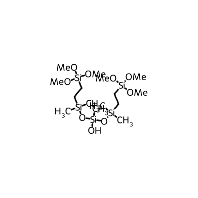 CO[Si](CC[Si](C)(C)O[Si](C)(O)O[Si](C)(C)CC[Si](OC)(OC)OC)(OC)OC